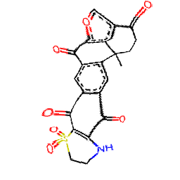 CC12CCC(=O)c3coc(c31)C(=O)c1cc3c(cc12)C(=O)C1=C(C3=O)S(=O)(=O)CCN1